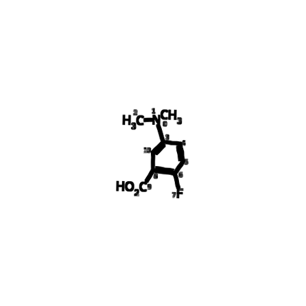 CN(C)c1ccc(F)c(C(=O)O)c1